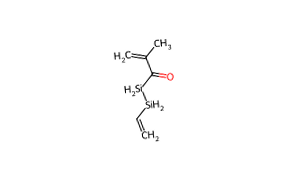 C=C[SiH2][SiH2]C(=O)C(=C)C